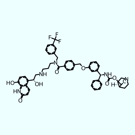 O=C(N[C@@H](c1ccccc1)c1cccc(OCc2ccc(C(=O)N(CCCNC[C@H](O)c3ccc(O)c4[nH]c(=O)ccc34)Cc3cccc(C(F)(F)F)c3)cc2)c1)O[C@H]1CN2CCC1CC2